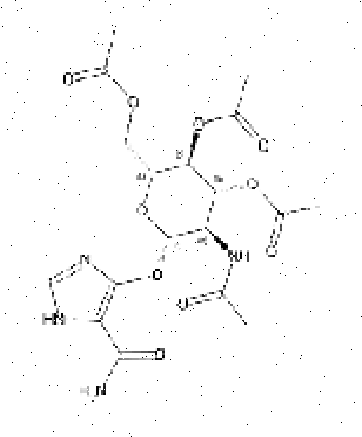 CC(=O)N[C@H]1[C@H](Oc2nc[nH]c2C(N)=O)O[C@H](COC(C)=O)[C@@H](OC(C)=O)[C@@H]1OC(C)=O